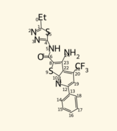 CCc1nnc(NC(=O)c2sc3nc(-c4ccccc4)cc(C(F)(F)F)c3c2N)s1